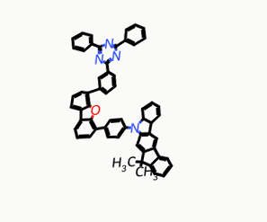 CC1(C)c2ccccc2-c2cc3c(cc21)N(c1ccc(-c2cccc4c2oc2c(-c5cccc(-c6nc(-c7ccccc7)nc(-c7ccccc7)n6)c5)cccc24)cc1)C1C=CC=CC31